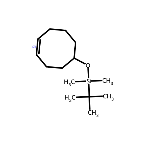 CC(C)(C)[Si](C)(C)OC1CC/C=C\CCC1